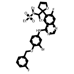 CCC(N(CC)S(=O)(=O)CC)C1(c2cc3c(Nc4ccc(OCc5cccc(F)c5)c(Br)c4)ncnc3cc2F)CC=CO1